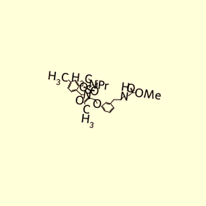 COC(=O)CNCCc1cccc(OCC2=C(C)OC(c3ccc(C)cc3)N2S(=O)(=O)N(C)C(C)C)c1